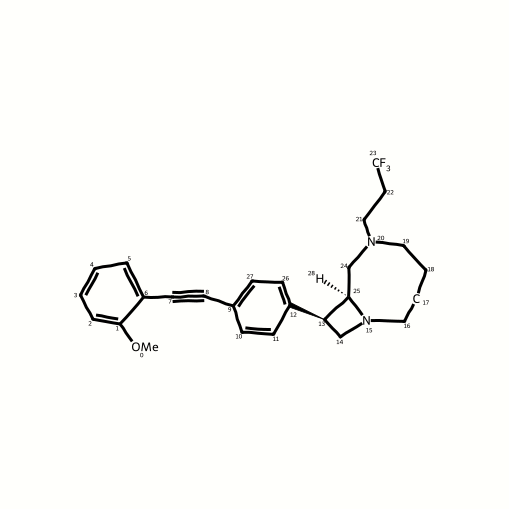 COc1ccccc1C#Cc1ccc([C@@H]2CN3CCCCN(CCC(F)(F)F)C[C@H]23)cc1